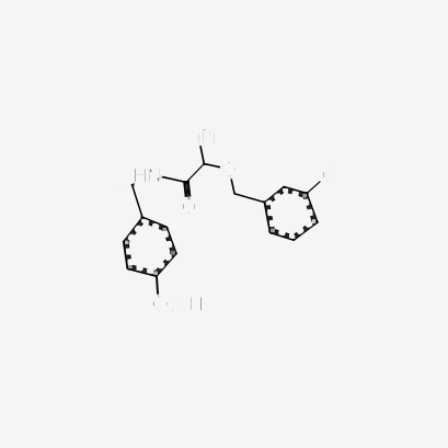 CC(C)C(OCc1cccc(Cl)c1)C(=O)N[C@@H](C)c1ccc(C(=O)O)cc1